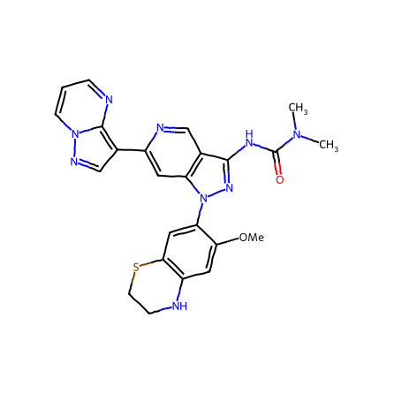 COc1cc2c(cc1-n1nc(NC(=O)N(C)C)c3cnc(-c4cnn5cccnc45)cc31)SCCN2